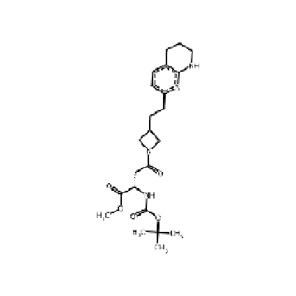 COC(=O)[C@H](CC(=O)N1CC(CCc2ccc3c(n2)NCCC3)C1)NC(=O)OC(C)(C)C